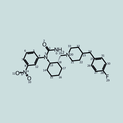 NC(=O)N(c1cccc([N+](=O)[O-])c1)[C@@H]1CCCC[C@H]1CN1CCC(Cc2ccc(F)cc2)CC1